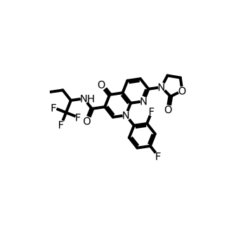 CCC(NC(=O)c1cn(-c2ccc(F)cc2F)c2nc(N3CCOC3=O)ccc2c1=O)C(F)(F)F